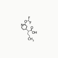 CCCC(C(=O)O)c1ccnc(OC(F)F)c1